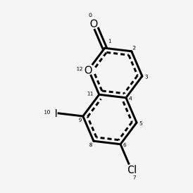 O=c1ccc2cc(Cl)cc(I)c2o1